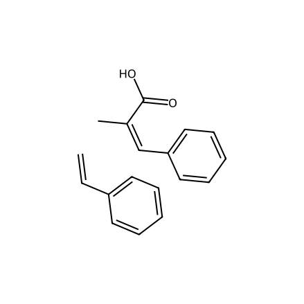 C=Cc1ccccc1.CC(=Cc1ccccc1)C(=O)O